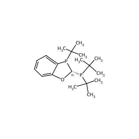 CC(C)(C)P1c2ccccc2O[C@H]1P(C(C)(C)C)C(C)(C)C